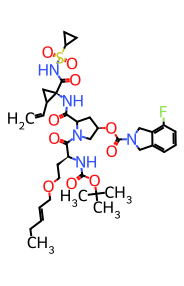 C=CC1C[C@]1(NC(=O)C1C[C@@H](OC(=O)N2Cc3cccc(F)c3C2)CN1C(=O)[C@H](CCOC/C=C/CC)NC(=O)OC(C)(C)C)C(=O)NS(=O)(=O)C1CC1